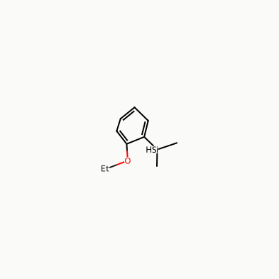 CCOc1ccccc1[SiH](C)C